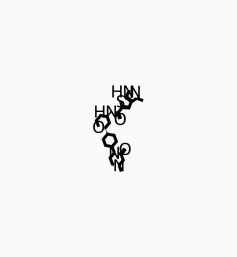 Cc1n[nH]c2sc(C(=O)N[C@@H]3CCO[C@@H](C4CCC(N5CCN(C)CC5=O)CC4)C3)cc12